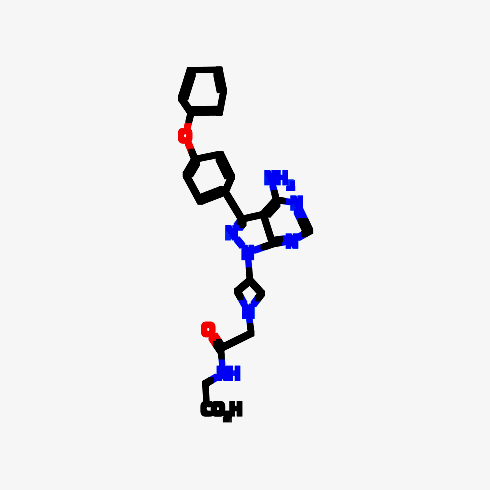 Nc1ncnc2c1c(-c1ccc(Oc3ccccc3)cc1)nn2C1CN(CC(=O)NCC(=O)O)C1